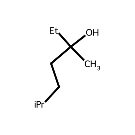 CCC(C)(O)CCC(C)C